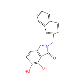 O=C1c2c(ccc(O)c2O)CN1Cc1ccc2ccccc2c1